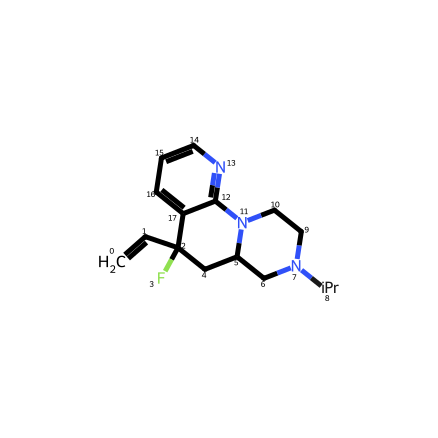 C=CC1(F)CC2CN(C(C)C)CCN2c2ncccc21